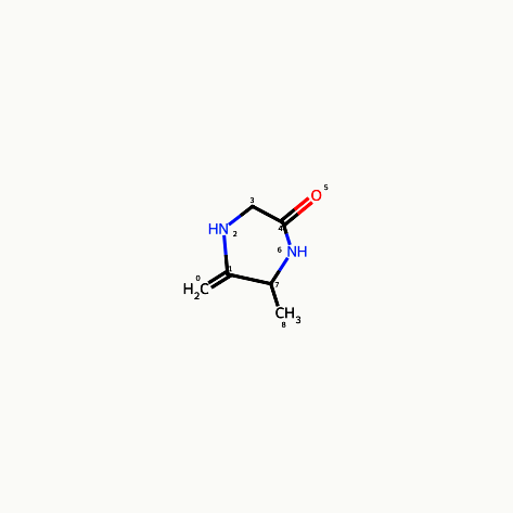 C=C1NCC(=O)NC1C